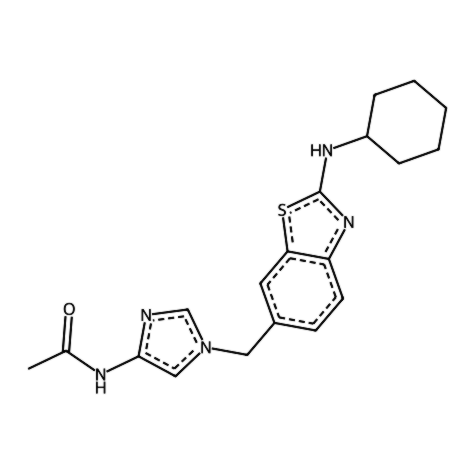 CC(=O)Nc1cn(Cc2ccc3nc(NC4CCCCC4)sc3c2)cn1